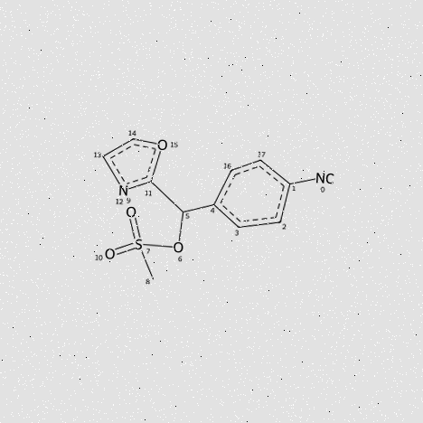 [C-]#[N+]c1ccc(C(OS(C)(=O)=O)c2ncco2)cc1